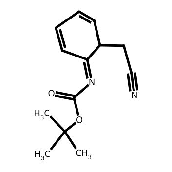 CC(C)(C)OC(=O)N=C1C=CC=CC1CC#N